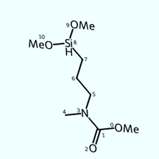 COC(=O)N(C)CCC[SiH](OC)OC